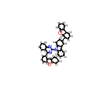 c1ccc2c(-c3cccc4oc5ccccc5c34)nc(-n3c4ccccc4c4cc(-c5cccc6c5oc5ccccc56)ccc43)nc2c1